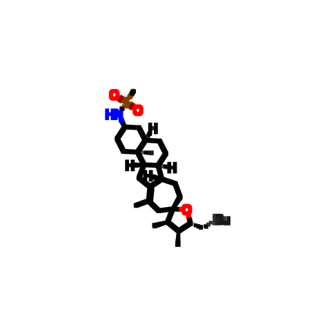 CC[C@@H](C)C[C@H]1O[C@]2(CC[C@@H]3C(=C(C)C2)C[C@H]2[C@H]3CC[C@@H]3C[C@H](NS(C)(=O)=O)CC[C@@]32C)[C@H](C)[C@@H]1C